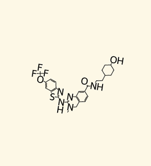 CN1Cc2ccc(C(=O)NCCC3CCC(O)CC3)cc2N=C1Nc1nc2ccc(OC(F)(F)F)cc2s1